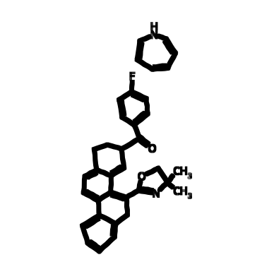 C1=CC=CNC=C1.CC1(C)COC(C2=c3c(ccc4c3=CC(C(=O)c3ccc(F)cc3)CC4)-c3ccccc3C2)=N1